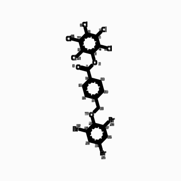 O=C(Oc1c(Cl)c(Cl)c(Cl)c(Cl)c1Cl)c1ccc(COc2c(Br)cc(Br)cc2Br)cc1